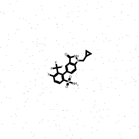 NS(=O)(=O)c1ccc(F)c(C(F)(F)F)c1-c1ccc2c(c1)c(=O)[nH]n2CC1CC1